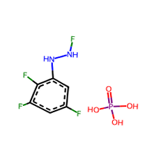 FNNc1cc(F)cc(F)c1F.O=P(O)(O)O